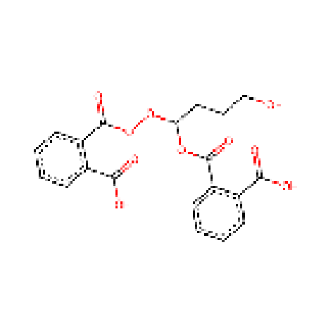 O=C(O)c1ccccc1C(=O)OOC(CCCO)OC(=O)c1ccccc1C(=O)O